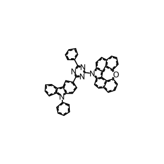 c1ccc(-c2nc(-c3ccc4c(c3)c3ccccc3n4-c3ccccc3)nc(-n3c4ccc5cccc6oc7cccc8ccc3c(c87)c4c56)n2)cc1